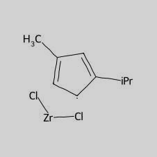 CC1=C[CH]C(C(C)C)=C1.[Cl][Zr][Cl]